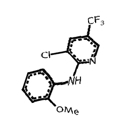 COc1ccccc1Nc1ncc(C(F)(F)F)cc1Cl